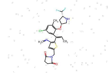 C=Nc1cc(CN2C(=O)CCC2=O)sc1/C(=C\C)c1cc(Cl)cc(C)c1O[C@@H]1CN[C@@H](C(F)F)C1